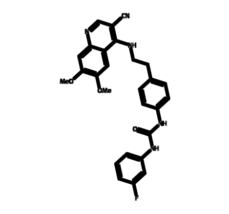 COc1cc2ncc(C#N)c(NCCc3ccc(NC(=O)Nc4cccc(F)c4)cc3)c2cc1OC